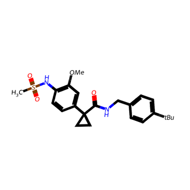 COc1cc(C2(C(=O)NCc3ccc(C(C)(C)C)cc3)CC2)ccc1NS(C)(=O)=O